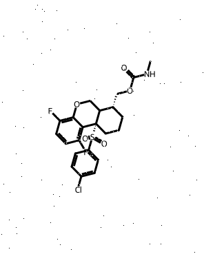 CNC(=O)OC[C@@H]1CCC[C@@]2(S(=O)(=O)c3ccc(Cl)cc3)c3c(F)ccc(F)c3OCC12